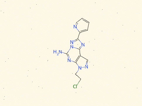 Nc1nc2c(cnn2CCCl)c2nc(-c3ccccn3)nn12